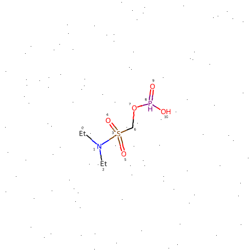 CCN(CC)S(=O)(=O)CO[PH](=O)O